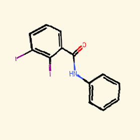 O=C(Nc1ccccc1)c1cccc(I)c1I